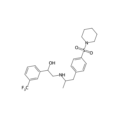 CC(Cc1ccc(S(=O)(=O)N2CCCCC2)cc1)NCC(O)c1cccc(C(F)(F)F)c1